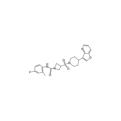 Cc1cc(F)ccc1NC(=O)N1CC(S(=O)(=O)N2CCC(c3coc4cccnc34)CC2)C1